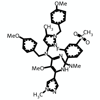 CNC1(c2ccc(S(C)(=O)=O)cc2F)N=C(N(Cc2ccc(OC)cc2)c2cc(C)n(Cc3ccc(OC)cc3)n2)C(OC)=C(c2cnn(C)c2)N1